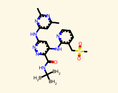 BC(B)(B)NC(=O)c1nnc(Nc2cc(C)nc(C)n2)cc1Nc1ncccc1CS(C)(=O)=O